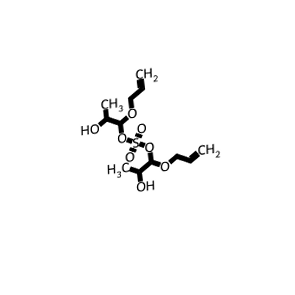 C=CCOC(OS(=O)(=O)OC(OCC=C)C(C)O)C(C)O